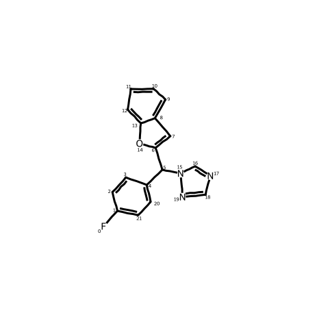 Fc1ccc(C(c2cc3ccccc3o2)n2cncn2)cc1